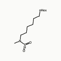 CCCCCCCCCCCCN(C)[SH](=O)=O